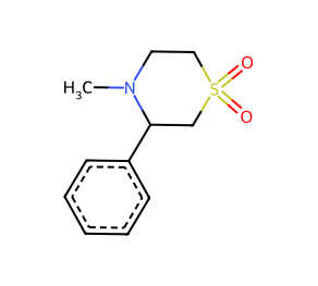 CN1CCS(=O)(=O)CC1c1ccccc1